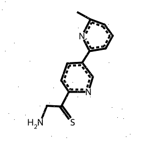 Cc1cccc(-c2ccc(C(=S)CN)nc2)n1